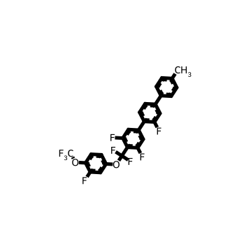 Cc1ccc(-c2ccc(-c3cc(F)c(C(F)(F)Oc4ccc(OC(F)(F)F)c(F)c4)c(F)c3)c(F)c2)cc1